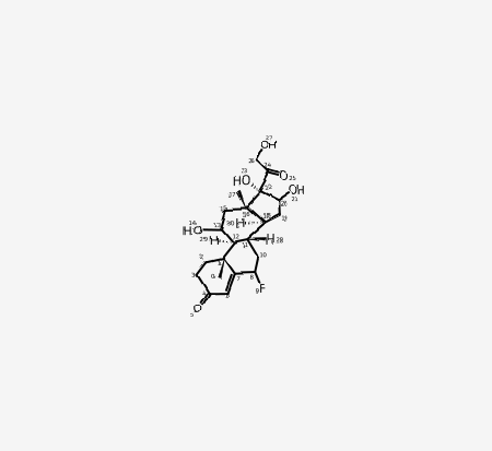 C[C@]12CCC(=O)C=C1C(F)C[C@@H]1[C@@H]2C(O)C[C@@]2(C)[C@H]1CC(O)[C@]2(O)C(=O)CO